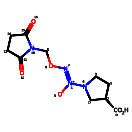 O=C(O)C1CCN(/[N+]([O-])=N/OCN2C(=O)CCC2=O)C1